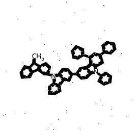 C=C1c2ccccc2-c2cc(-n3c4ccccc4c4cc(-c5ccc6c(c5)c5c(-c7ccccc7)cc(-c7ccccc7)cc5n6-c5ccccc5)ccc43)ccc21